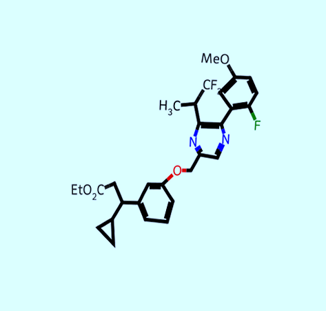 CCOC(=O)CC(c1cccc(OCc2cnc(-c3cc(OC)ccc3F)c(C(C)C(F)(F)F)n2)c1)C1CC1